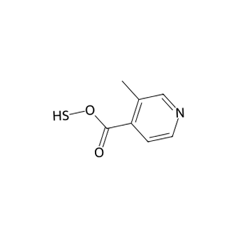 Cc1cnccc1C(=O)OS